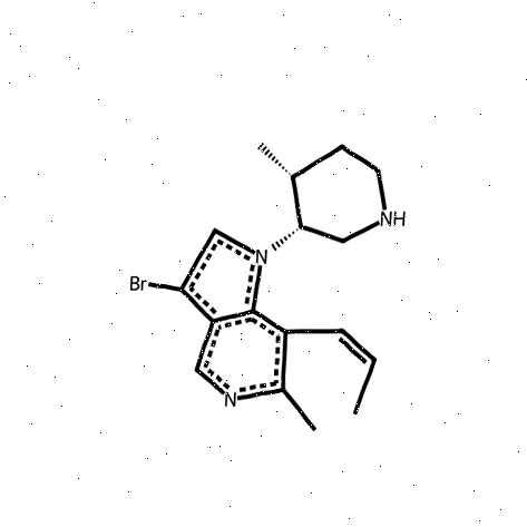 C/C=C\c1c(C)ncc2c(Br)cn([C@H]3CNCC[C@H]3C)c12